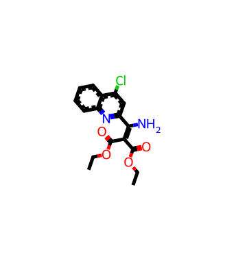 CCOC(=O)C(C(=O)OCC)=C(N)c1cc(Cl)c2ccccc2n1